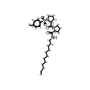 CCCCCCCCCCCCNC(=O)C1CCCN1C(=O)C1CCCN1S(=O)(=O)c1ccc(C)cc1